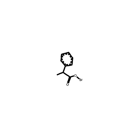 CC(C(=O)OBr)c1ccccc1